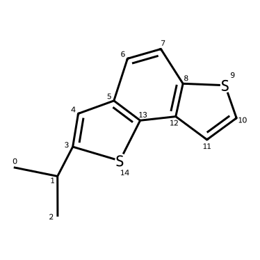 CC(C)c1cc2ccc3sccc3c2s1